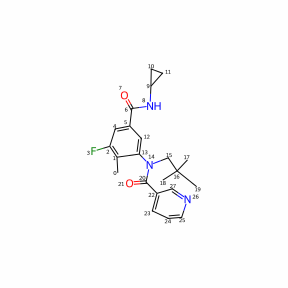 Cc1c(F)cc(C(=O)NC2CC2)cc1N(CC(C)(C)C)C(=O)c1cccnc1